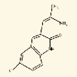 CC(N)=Cc1cc2cc(Cl)ccc2[nH]c1=O